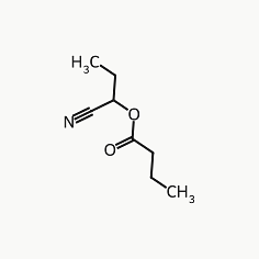 CCCC(=O)OC(C#N)CC